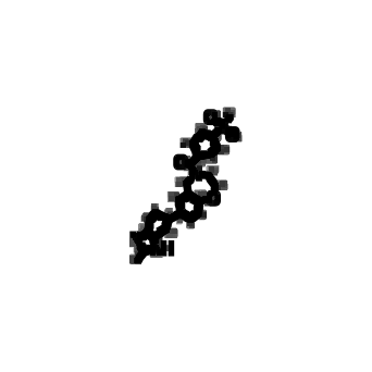 Cc1nc2ccc(-c3ccc4c(c3)CN(C(=O)c3ccc(S(C)(=O)=O)cc3)CCO4)cc2[nH]1